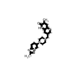 Cc1nc2ccc(N3CCN(Cc4cnc5cc(C)c(=O)[nH]c5c4)CC3)cn2n1